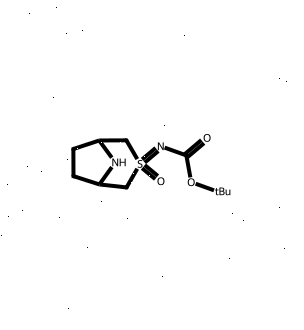 CC(C)(C)OC(=O)N=S1(=O)CC2CCC(C1)N2